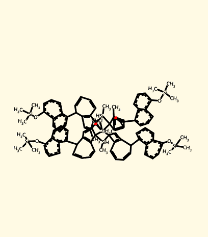 CC1=CC2=C(C=CC=CC2c2cccc3c(O[Si](C)(C)C)cccc23)[C]12[SiH](C)[C]1(C(C)=CC3=C1C=CC=CC3c1cccc3c(O[Si](C)(C)C)cccc13)[Zr]21([Cl])([Cl])[C]2(C(C)=CC3=C2C=CC=CC3c2cccc3c(O[Si](C)(C)C)cccc23)[SiH](C)[C]12C(C)=CC1=C2C=CC=CC1c1cccc2c(O[Si](C)(C)C)cccc12